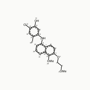 COCCOc1ccc2c(Nc3cc(O)c(Cl)cc3F)ccnc2c1OC